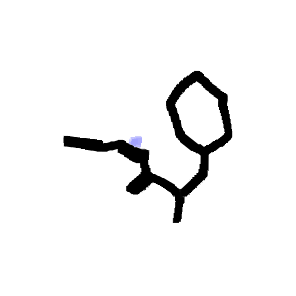 C=C/C=C\C(=C)N(C)CC1CCCCC1